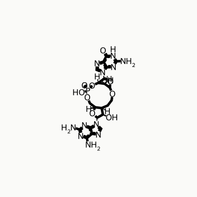 Nc1nc(N)c2ncn([C@@H]3O[C@@H]4COP(=O)(O)O[C@@H]5[C@H](O)C(OCC[C@H]4[C@H]3O)O[C@H]5n3cnc4c(=O)[nH]c(N)nc43)c2n1